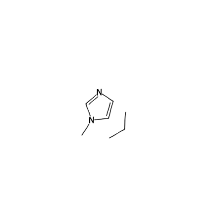 CCC.Cn1ccnc1